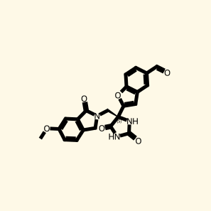 COc1ccc2c(c1)C(=O)N(C[C@@]1(c3cc4cc(C=O)ccc4o3)NC(=O)NC1=O)C2